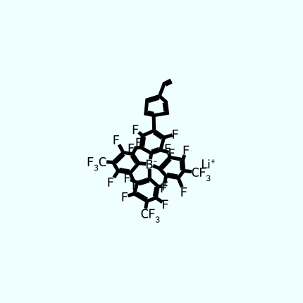 C=Cc1ccc(-c2c(F)c(F)c([B-](c3c(F)c(F)c(C(F)(F)F)c(F)c3F)(c3c(F)c(F)c(C(F)(F)F)c(F)c3F)c3c(F)c(F)c(C(F)(F)F)c(F)c3F)c(F)c2F)cc1.[Li+]